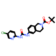 CC(C)(C)OC(=O)N1CCc2cc(NC(=O)Nc3ccc(Cl)cn3)ccc2C1